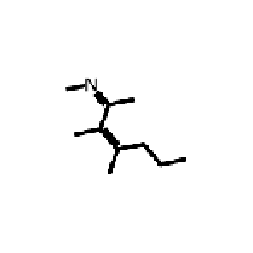 CCC/C(C)=C(C)\C(C)=N/C